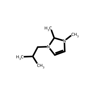 CC(C)CN1C=CN(C)C1C